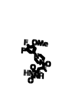 COc1cc(N2CCN(C(=O)[C@@H](C)C[C@@]3(C)NC(=O)NC3=O)CC2)cc(F)c1F